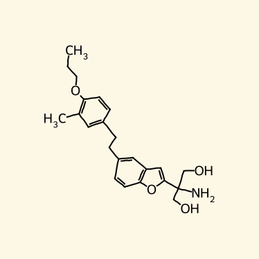 CCCOc1ccc(CCc2ccc3oc(C(N)(CO)CO)cc3c2)cc1C